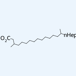 CCCCCCCC(C)CCCCCCCCCCCC(C)CC(=O)O